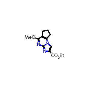 CCOC(=O)c1cn2c3c(c(OC)nc2n1)CCC3